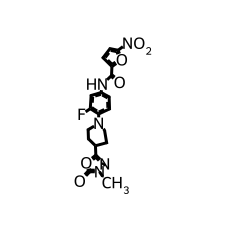 Cn1nc(C2CCN(c3ccc(NC(=O)c4ccc([N+](=O)[O-])o4)cc3F)CC2)oc1=O